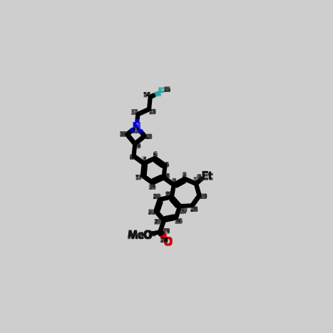 CCC1C=C(c2ccc(CC3CN(CCCF)C3)cc2)c2ccc(C(=O)OC)cc2CC1